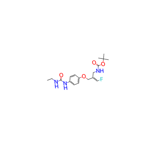 CCNC(=O)Nc1ccc(OC/C(=C/F)CNC(=O)OC(C)(C)C)cc1